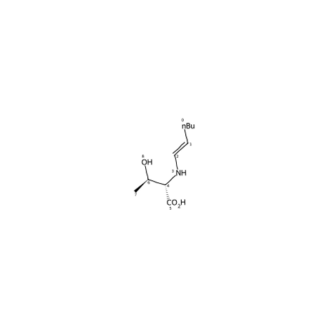 CCCCC=CN[C@H](C(=O)O)[C@@H](C)O